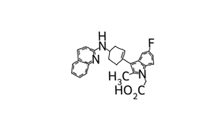 Cc1c(C2=CCC(Nc3ccc4ccccc4n3)CC2)c2cc(F)ccc2n1CC(=O)O